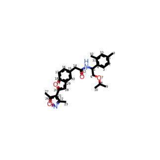 Cc1ccc(C(COC(C)C)NC(=O)Cc2ccc3oc(-c4c(C)noc4C)cc3c2)c(C)c1